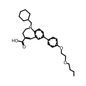 CCCCOCCOc1ccc(-c2ccc3c(c2)C=C(C(=O)O)CCN3CC2CCCCC2)cc1